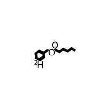 [2H]c1cccc(COC(=O)CCCCC)c1